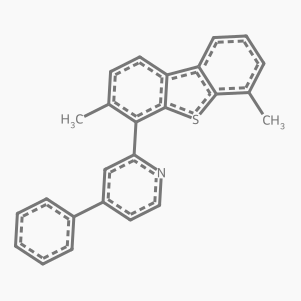 Cc1ccc2c(sc3c(C)cccc32)c1-c1cc(-c2ccccc2)ccn1